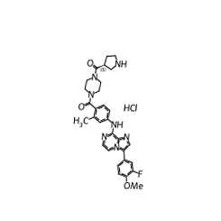 COc1ccc(-c2cnc3c(Nc4ccc(C(=O)N5CCN(C(=O)[C@H]6CCNC6)CC5)c(C)c4)nccn23)cc1F.Cl